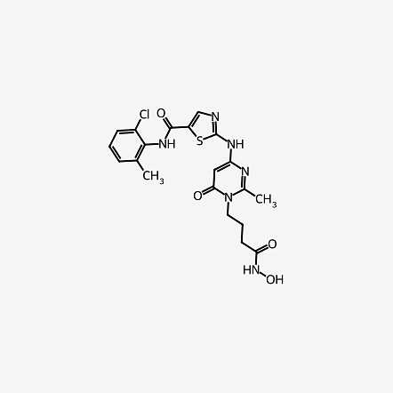 Cc1cccc(Cl)c1NC(=O)c1cnc(Nc2cc(=O)n(CCCC(=O)NO)c(C)n2)s1